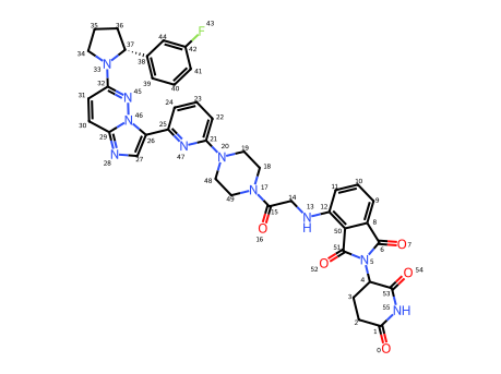 O=C1CCC(N2C(=O)c3cccc(NCC(=O)N4CCN(c5cccc(-c6cnc7ccc(N8CCC[C@@H]8c8cccc(F)c8)nn67)n5)CC4)c3C2=O)C(=O)N1